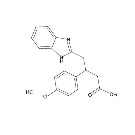 Cl.O=C(O)CC(Cc1nc2ccccc2[nH]1)c1ccc(Cl)cc1